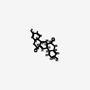 Cc1ccc2c(c1)CC(=O)c1cc3c(cc1-2)C(=O)Cc1cc(C)ccc1-3